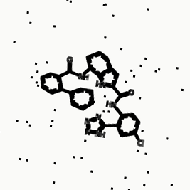 O=C(Nc1ccc(Cl)cc1-c1nnn[nH]1)c1cc2cccc(NC(=O)c3ccccc3-c3ccccc3)c2[nH]1